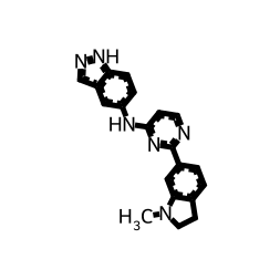 CN1CCc2ccc(-c3nccc(Nc4ccc5[nH]ncc5c4)n3)cc21